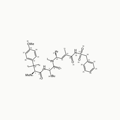 CN[C@H](C(=O)NC(C(=O)N(C)[C@H](/C=C(\C)C(=O)NS(=O)(=O)Cc1ccccc1)C(C)C)C(C)(C)C)C(C)(C)c1ccc(OC)cc1